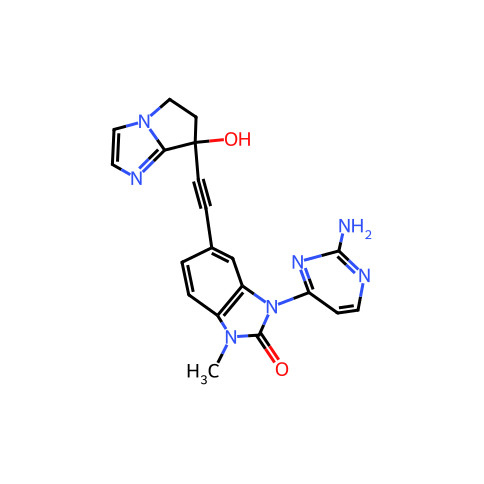 Cn1c(=O)n(-c2ccnc(N)n2)c2cc(C#CC3(O)CCn4ccnc43)ccc21